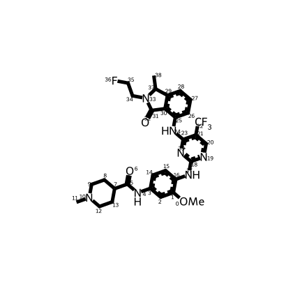 COc1cc(NC(=O)C2CCN(C)CC2)ccc1Nc1ncc(C(F)(F)F)c(Nc2cccc3c2C(=O)N(CCF)C3C)n1